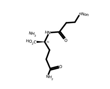 CCCCCCCCCCCC(=O)N[C@@H](CCC(N)=O)C(=O)O.N